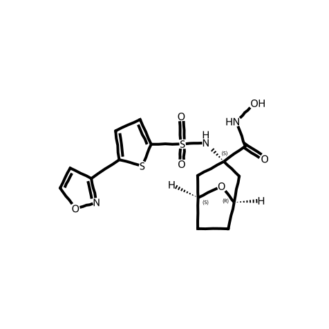 O=C(NO)[C@@]1(NS(=O)(=O)c2ccc(-c3ccon3)s2)C[C@H]2CC[C@@H](C1)O2